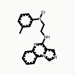 CCN(CCNc1nc2ccccc2n2cncc12)c1cccc(C)c1